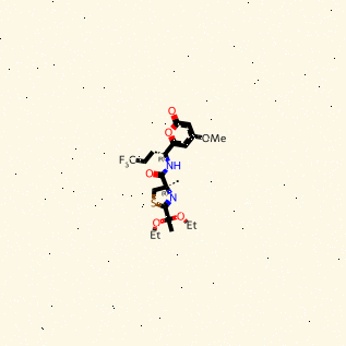 CCOC(C)(OCC)C1=N[C@](C)(C(=O)N[C@H](CCC(F)(F)F)c2cc(OC)cc(=O)o2)CS1